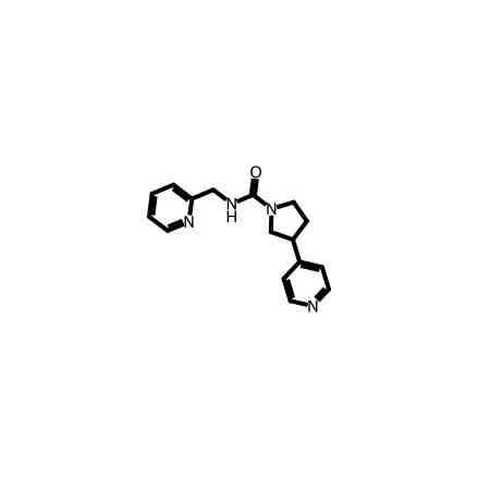 O=C(NCc1ccccn1)N1CCC(c2ccncc2)C1